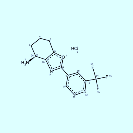 Cl.N[C@H]1CCCc2oc(-c3ccnc(C(F)(F)F)c3)nc21